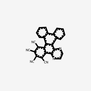 N#Cc1c(C#N)c(C#N)c2c(c1C#N)c1nccnc1c1c3ccccc3c3ccccc3c21